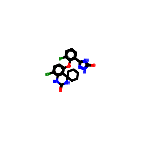 O=C1Nc2c(Cl)ccc(Oc3c(F)cccc3-c3n[nH]c(=O)[nH]3)c2C2(CCCCC2)N1